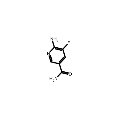 NC(=O)c1cnc(N)c(F)c1